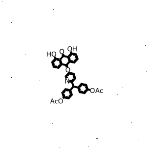 CC(=O)Oc1ccc(C(c2ccc(OC(C)=O)cc2)c2ccccn2)cc1.O=C1c2cccc(O)c2C(=O)c2c(O)cccc21